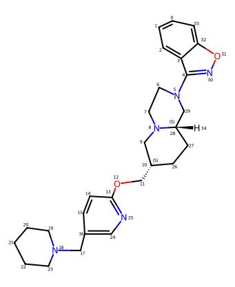 c1ccc2c(N3CCN4C[C@@H](COc5ccc(CN6CCCCC6)cn5)CC[C@H]4C3)noc2c1